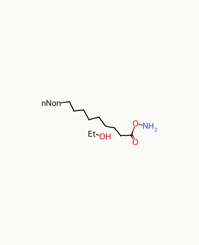 CCCCCCCCCCCCCCCCCC(=O)ON.CCO